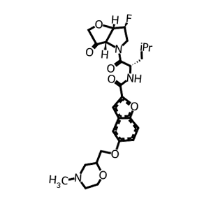 CC(C)C[C@H](NC(=O)c1cc2cc(OCC3CN(C)CCO3)ccc2o1)C(=O)N1C[C@H](F)[C@H]2OCC(=O)[C@H]21